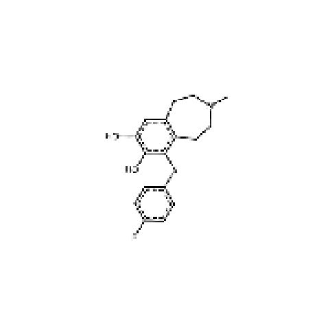 CN1CCc2cc(O)c(O)c(Sc3ccc(F)cc3)c2CC1